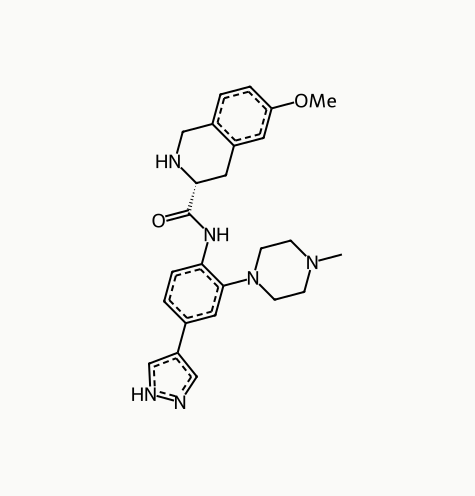 COc1ccc2c(c1)C[C@H](C(=O)Nc1ccc(-c3cn[nH]c3)cc1N1CCN(C)CC1)NC2